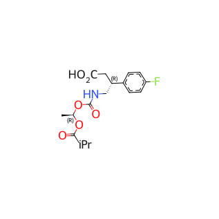 CC(C)C(=O)O[C@@H](C)OC(=O)NC[C@H](CC(=O)O)c1ccc(F)cc1